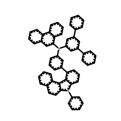 c1ccc(-c2cc(-c3ccccc3)cc(N(c3cccc(-c4cccc5c4c4c6ccccc6ccc4n5-c4ccccc4)c3)c3cc4ccccc4c4ccccc34)c2)cc1